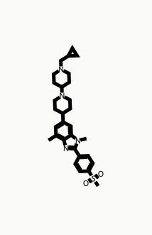 Cc1cc(C2CCN(C3CCN(CC4CC4)CC3)CC2)cc2c1nc(-c1ccc(S(C)(=O)=O)cc1)n2C